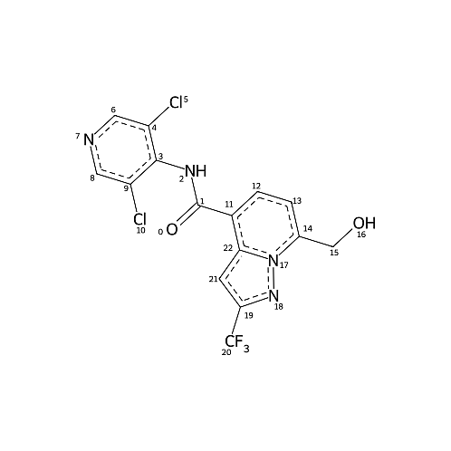 O=C(Nc1c(Cl)cncc1Cl)c1ccc(CO)n2nc(C(F)(F)F)cc12